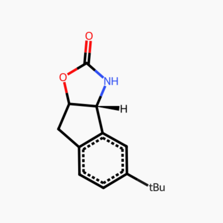 CC(C)(C)c1ccc2c(c1)[C@H]1NC(=O)OC1C2